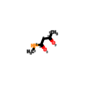 CPC(=O)CC(C)=O